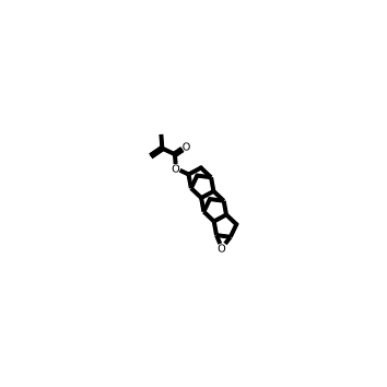 C=C(C)C(=O)OC1CC2CC1C1C3CC(C4CC5OC5C43)C21